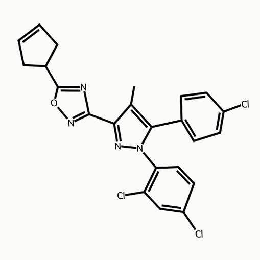 Cc1c(-c2noc(C3CC=CC3)n2)nn(-c2ccc(Cl)cc2Cl)c1-c1ccc(Cl)cc1